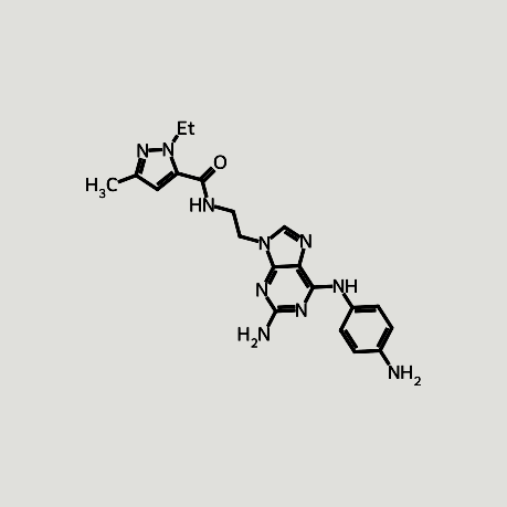 CCn1nc(C)cc1C(=O)NCCn1cnc2c(Nc3ccc(N)cc3)nc(N)nc21